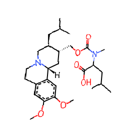 COc1cc2c(cc1OC)[C@H]1C[C@@H](COC(=O)N(C)C(CC(C)C)C(=O)O)[C@H](CC(C)C)CN1CC2